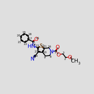 COCCOC(=O)N1CCc2c(sc(NC(=O)c3ccccc3)c2C#N)C1